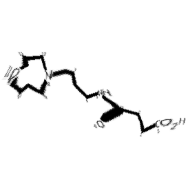 O=C(O)CCC(=O)NCCN1CCOCC1